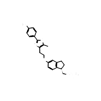 CCOC(=O)C[C@@H]1CCc2cc(OCCc3nc(-c4ccc(C(C)C)cc4)sc3C)ccc21